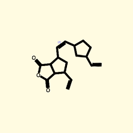 C=CC1CCC(/C=C\C2CC(C=C)C3C(=O)OC(=O)C23)C1